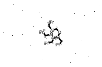 CC(C)[CH2][Al]1[CH2][O][Al]([CH2]C(C)C)[Al]([CH2]C(C)C)[Al]1[CH2]C(C)C